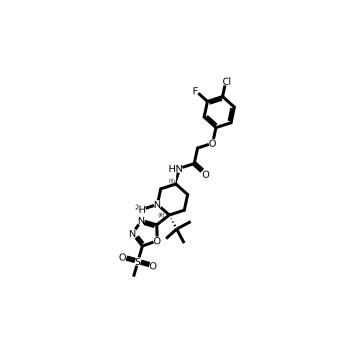 [2H]N1C[C@@H](NC(=O)COc2ccc(Cl)c(F)c2)CC[C@]1(c1nnc(S(C)(=O)=O)o1)C(C)(C)C